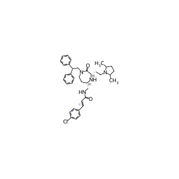 CC1CCC(C)N1CC[C@@H]1N[C@H](CNC(=O)/C=C/c2ccc(Cl)cc2)CCN(CC(c2ccccc2)c2ccccc2)C1=O